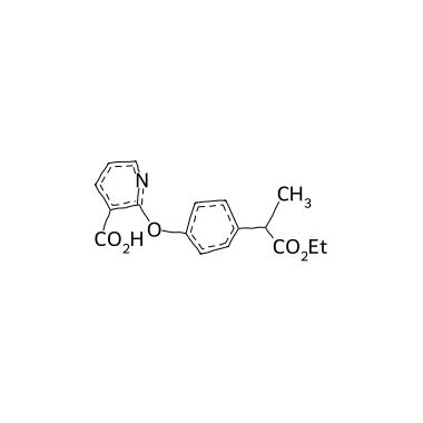 CCOC(=O)C(C)c1ccc(Oc2ncccc2C(=O)O)cc1